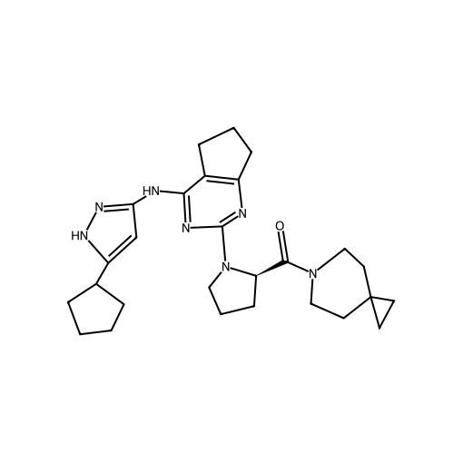 O=C([C@H]1CCCN1c1nc2c(c(Nc3cc(C4CCCC4)[nH]n3)n1)CCC2)N1CCC2(CC1)CC2